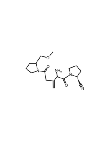 C=C(CC(=O)N1CCCC1COC)C(N)C(=O)N1CCC[C@H]1C#N